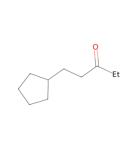 CCC(=O)CCC1CCCC1